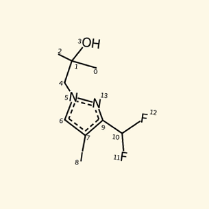 CC(C)(O)Cn1cc(I)c(C(F)F)n1